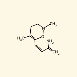 C=C(N)/C=C\C1=C(C)CCN(C)O1